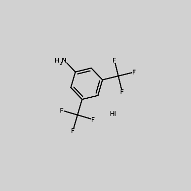 I.Nc1cc(C(F)(F)F)cc(C(F)(F)F)c1